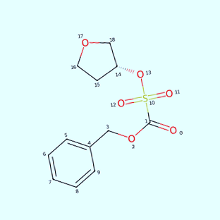 O=C(OCc1ccccc1)S(=O)(=O)O[C@@H]1CCOC1